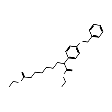 CCOC(=O)CCCCCCC(C(=O)OCC)c1ccc(OCc2ccccc2)cc1